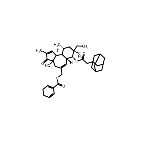 CC[C@@]1(C)C[C@@H](C)C2[C@@H](C=C(COC(=O)C3=CCCC=C3)C[C@]3(O)C(=O)C(C)=C[C@@H]23)[C@@H]1OC(=O)CC12CC3CC(CC(C3)C1)C2